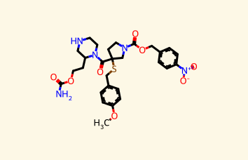 COc1ccc(CSC2(C(=O)N3CCNCC3CCOC(N)=O)CCN(C(=O)OCc3ccc([N+](=O)[O-])cc3)C2)cc1